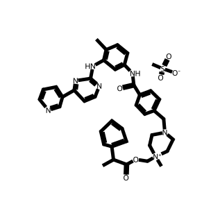 CS(=O)(=O)[O-].Cc1ccc(NC(=O)c2ccc(CN3CC[N+](C)(COC(=O)C(C)c4ccccc4)CC3)cc2)cc1Nc1nccc(-c2cccnc2)n1